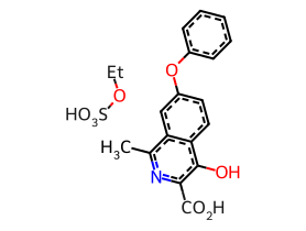 CCOS(=O)(=O)O.Cc1nc(C(=O)O)c(O)c2ccc(Oc3ccccc3)cc12